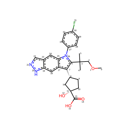 COCC(C)(C)c1c([C@@H]2CC[C@@](O)(C(=O)O)C2)c2cc3[nH]ncc3cc2n1-c1ccc(F)cc1